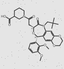 COc1cccc([C@@H]2O[C@@H](CC(=O)N3CCCC(C(=O)O)C3)C(=O)N(CC(C)(C)C)c3cc4c(cc32)OCCO4)c1OC